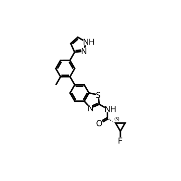 Cc1ccc(-c2cc[nH]n2)cc1-c1ccc2nc(NC(=O)[C@@H]3CC3F)sc2c1